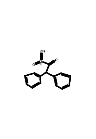 N=[SH](=O)C(=O)C(c1ccccc1)c1ccccc1